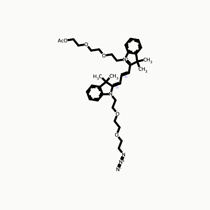 CC(=O)OCCOCCOCC[N+]1=C(/C=C/C=C2/N(CCOCCOCCN=[N+]=[N-])c3ccccc3C2(C)C)C(C)(C)c2ccccc21